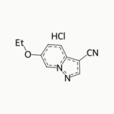 CCOc1ccc2c(C#N)cnn2c1.Cl